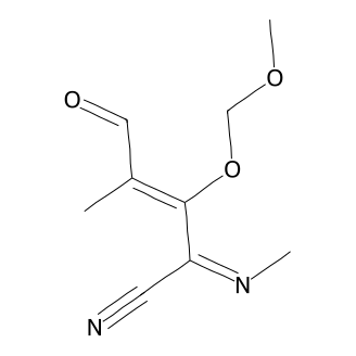 C/N=C(C#N)\C(OCOC)=C(/C)C=O